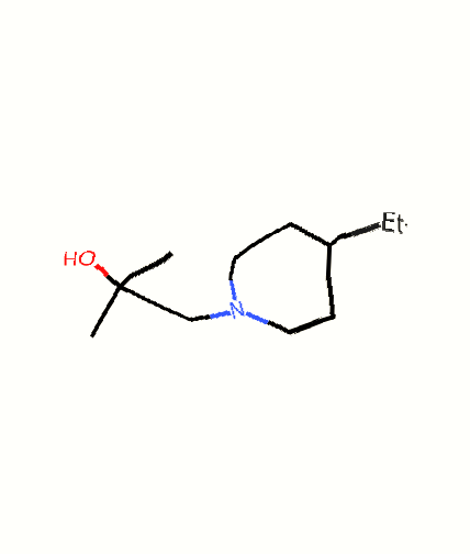 C[CH]C1CCN(CC(C)(C)O)CC1